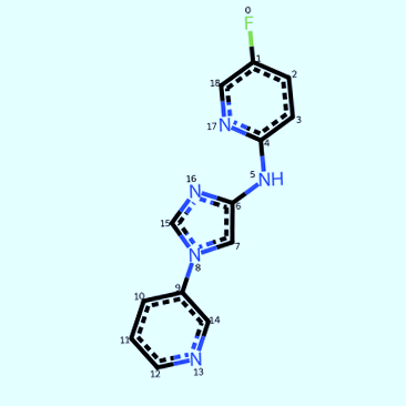 Fc1ccc(Nc2cn(-c3cccnc3)cn2)nc1